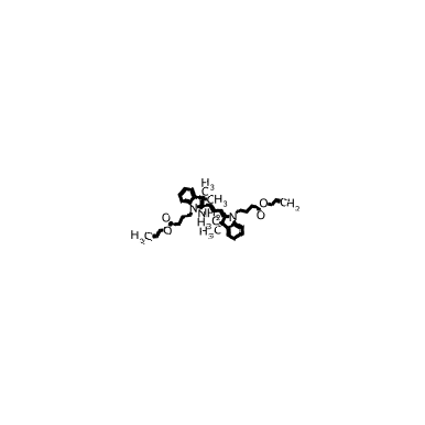 C=CCOC(=O)CCCN1/C(=C/C=C/C2(N)N(CCCC(=O)OCC=C)c3ccccc3C2(C)C)C(C)(C)c2ccccc21